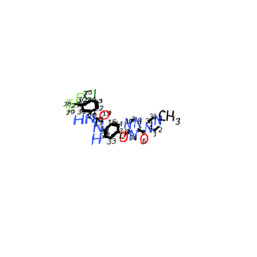 CN1CCN(C(=O)c2ncnc(Oc3ccc(NC(=O)Nc4ccc(Cl)c(C(F)(F)F)c4)cc3)n2)CC1